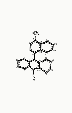 N#Cc1ccc(-c2c3ccccc3c(Br)c3ccccc23)c2ccccc12